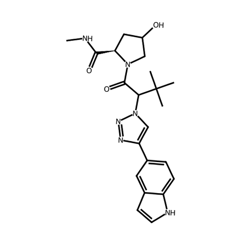 CNC(=O)[C@H]1CC(O)CN1C(=O)C(n1cc(-c2ccc3[nH]ccc3c2)nn1)C(C)(C)C